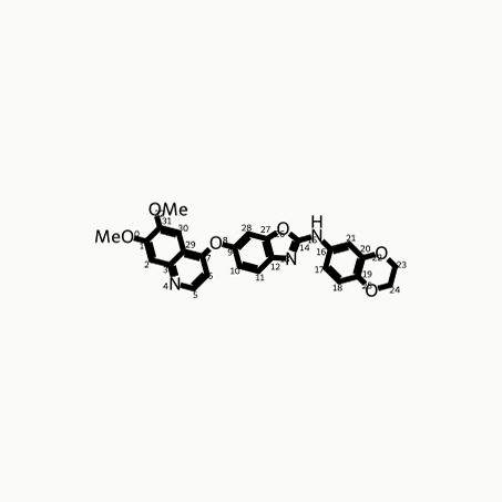 COc1cc2nccc(Oc3ccc4nc(Nc5ccc6c(c5)OCCO6)oc4c3)c2cc1OC